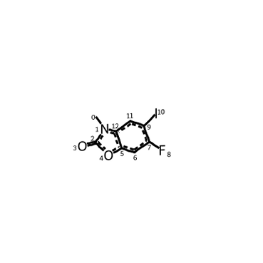 Cn1c(=O)oc2cc(F)c(I)cc21